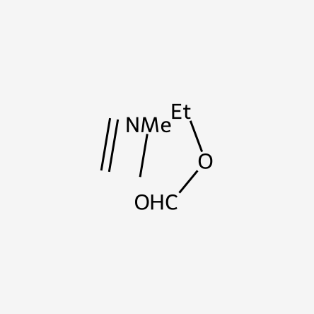 C=C.CCOC=O.CNC